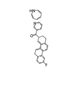 C1=CC=CNC=C1.O=C(c1cccnc1)C1C=c2c(ccc3c2=CCc2ccc(F)cc2-3)CC1